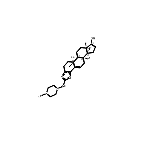 CCN1CCN(Nc2nc3c(s2)C2=CC[C@H]4[C@@H]5CC[C@H](O)[C@@]5(C)CC[C@@H]4[C@@]2(C)CC3)CC1